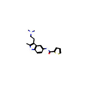 Cc1[nH]c2ccc(NC(=O)c3cccs3)cc2c1CCN(C)C